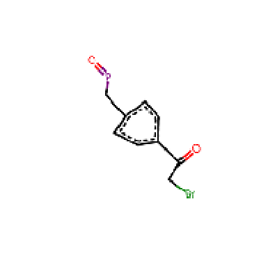 O=PCc1ccc(C(=O)CBr)cc1